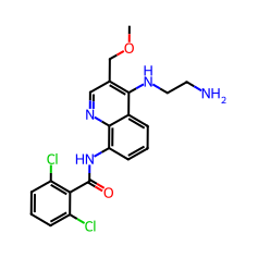 COCc1cnc2c(NC(=O)c3c(Cl)cccc3Cl)cccc2c1NCCN